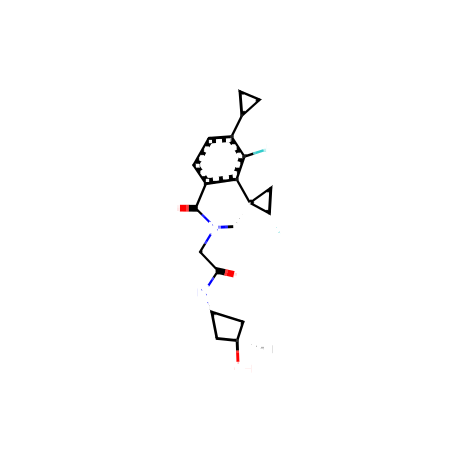 C[C@]1(O)C[C@H](NC(=O)CN2C[C@@]3(C[C@@H]3F)c3c(ccc(C4CC4)c3F)C2=O)C1